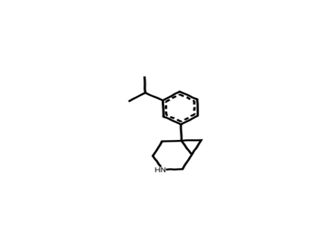 CC(C)c1cccc(C23CCNCC2C3)c1